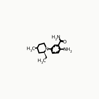 CC[C@H]1CC(C)CCN1c1ccc(N)c(C(N)=O)c1